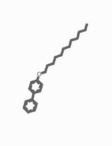 CCCCCCCCCCCCOc1ccc(-c2ccccc2)cc1